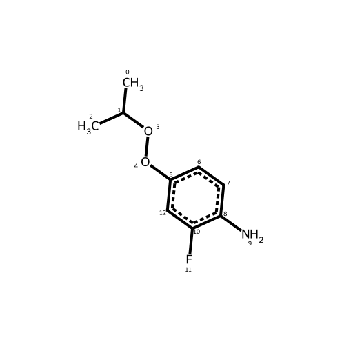 CC(C)OOc1ccc(N)c(F)c1